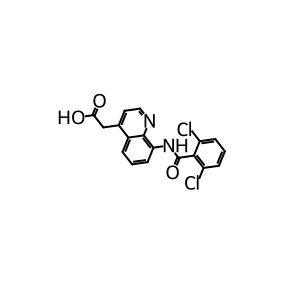 O=C(O)Cc1ccnc2c(NC(=O)c3c(Cl)cccc3Cl)cccc12